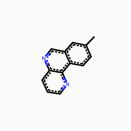 Cc1ccc2c(cnc3cccnc32)c1